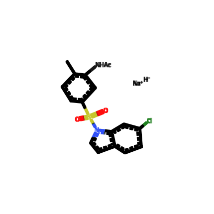 CC(=O)Nc1cc(S(=O)(=O)n2ccc3ccc(Cl)cc32)ccc1C.[H-].[Na+]